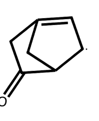 O=C1CC2=C[CH]C1C2